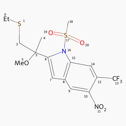 CCSCC(C)(OC)c1cc2cc([N+](=O)[O-])c(C(F)(F)F)cc2n1S(C)(=O)=O